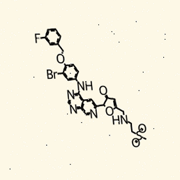 CS(=O)(=O)CCNCC1=CC(=O)C(c2cc3c(Nc4ccc(OCc5cccc(F)c5)c(Br)c4)ncnc3cn2)O1